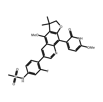 COc1ccc(-c2c3c(c(OC)c4cc(-c5ccc(NS(C)(=O)=O)cc5F)cnc24)C(C)(C)CO3)c(=O)[nH]1